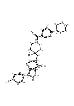 O=C(c1ccc(N2CCOCC2)nc1)N1CCC(O)(Cn2cnc3c(cnn3-c3ccc(F)cc3)c2=O)CC1